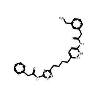 NCc1cccc(CC(=O)NC2=CC=C(CCCCc3nnc(NC(=O)Cc4ccccc4)s3)NN2)c1